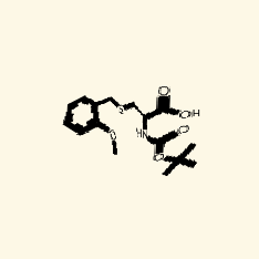 COc1ccccc1CSC[C@H](NC(=O)OC(C)(C)C)C(=O)O